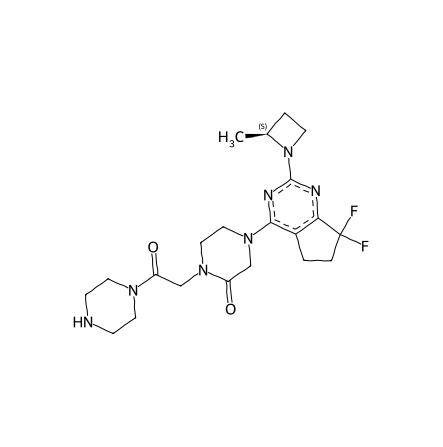 C[C@H]1CCN1c1nc(N2CCN(CC(=O)N3CCNCC3)C(=O)C2)c2c(n1)C(F)(F)CC2